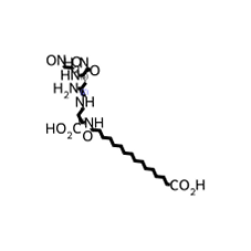 NC(=O)[C@H](C/C(N)=C/NCC[C@H](NC(=O)CCCCCCCCCCCCCCC(=O)O)C(=O)O)NC(=O)CN=O